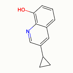 Oc1cccc2cc(C3CC3)cnc12